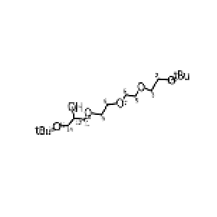 CC(C)(C)OCCOCCOCCOCC(O)COC(C)(C)C